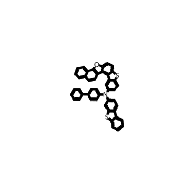 c1ccc(-c2ccc(N(c3ccc4c(c3)sc3ccccc34)c3ccc4sc5ccc6oc7c8ccccc8ccc7c6c5c4c3)cc2)cc1